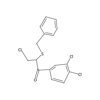 O=C(c1ccc(Cl)c(Cl)c1)C(CCl)SCc1ccccc1